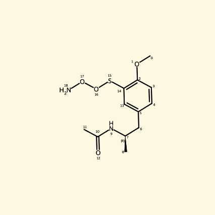 COc1ccc(C[C@@H](C)NC(C)=O)cc1SOON